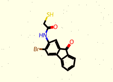 O=C(CS)Nc1cc2c(cc1Br)-c1ccccc1C2=O